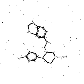 CCCCCN1CC[C@@H](c2ccc([N+](=O)[O-])cc2)[C@H](COc2ccc3c(c2)OCO3)C1